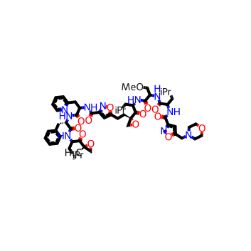 COCC(NC(=O)C(CC(C)C)NC(=O)c1cc(CN2CCOCC2)on1)C(=O)NC(CC(C)C)C(=O)[C@@]1(CCc2cc(C(=O)NC(Cc3ccccn3)C(=O)N[C@@H](Cc3ccccc3)C(=O)NC(CC(C)C)C(=O)[C@@]3(C)CO3)no2)CO1